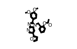 COc1ccc(-c2nc3ncc(-c4ccco4)cc3n2Cc2ccccc2OC(C)=O)cc1OC